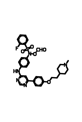 CN1CCC(CCOc2ccc(-c3cc(Nc4ccc(N(OC=O)S(=O)(=O)c5ccccc5F)cc4)ncn3)cc2)CC1